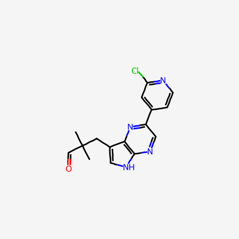 CC(C)(C=O)Cc1c[nH]c2ncc(-c3ccnc(Cl)c3)nc12